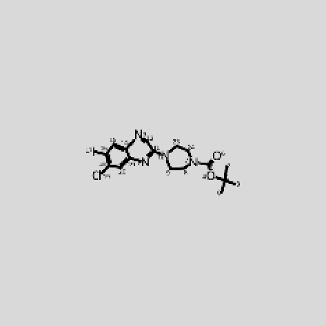 CC(C)(C)OC(=O)N1CCN(c2cnc3cc(I)c(Cl)cc3n2)CC1